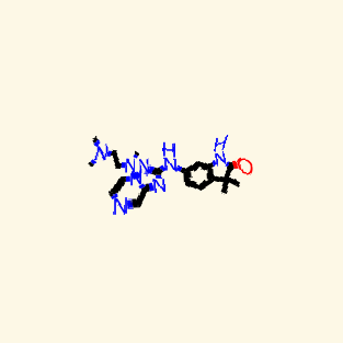 CN(C)CCN(C)[N+]12C=CN=CC1=NC(Nc1ccc3c(c1)NC(=O)C3(C)C)=N2